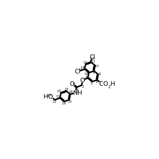 O=C(COc1cc(C(=O)O)cc2cc(Cl)cc(Cl)c12)Nc1ccc(CO)cc1